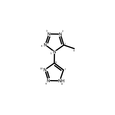 Cc1nnnn1-c1c[nH]nn1